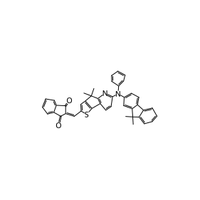 CC1(C)c2ccccc2-c2ccc(N(c3ccccc3)c3ccc4c(n3)C(C)(C)c3cc(C=C5C(=O)c6ccccc6C5=O)sc3-4)cc21